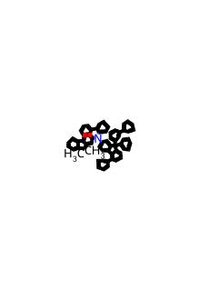 CC1(C)c2ccccc2-c2ccc(N(c3ccc4c(c3)C(c3ccccc3)(c3cccc(-c5ccccc5)c3)c3cccc(-c5ccccc5)c3-4)c3ccccc3-c3ccccc3)cc21